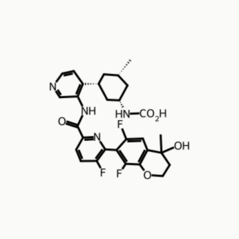 C[C@@H]1C[C@H](NC(=O)O)C[C@H](c2ccncc2NC(=O)c2ccc(F)c(-c3c(F)cc4c(c3F)OCCC4(C)O)n2)C1